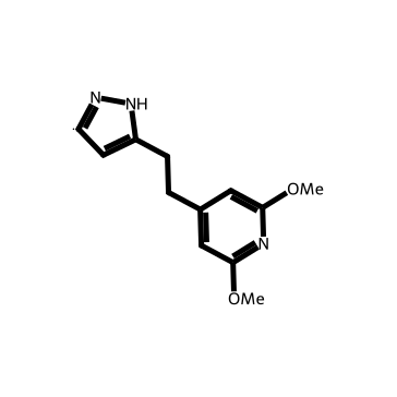 COc1cc(CCc2c[c]n[nH]2)cc(OC)n1